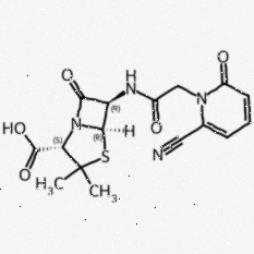 CC1(C)S[C@@H]2[C@H](NC(=O)Cn3c(C#N)cccc3=O)C(=O)N2[C@H]1C(=O)O